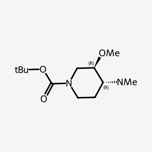 CN[C@@H]1CCN(C(=O)OC(C)(C)C)C[C@H]1OC